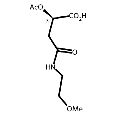 COCCNC(=O)C[C@@H](OC(C)=O)C(=O)O